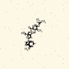 C#C[C@]1(CO[PH](=O)C(C)N[C@@H](C)C(=O)OC(C)C)O[C@@H](n2cnc3c(N)ncnc32)C[C@@H]1O